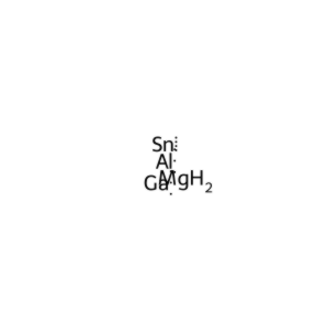 [Al].[Ga].[MgH2].[Sn]